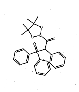 C=C(B1OC(C)(C)C(C)(C)O1)C(c1ccccc1)P(=O)(c1ccccc1)c1ccccc1